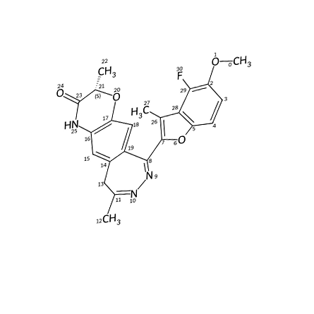 COc1ccc2oc(C3=NN=C(C)Cc4cc5c(cc43)O[C@@H](C)C(=O)N5)c(C)c2c1F